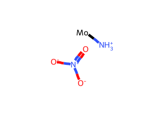 O=[N+]([O-])[O-].[NH3+][Mo]